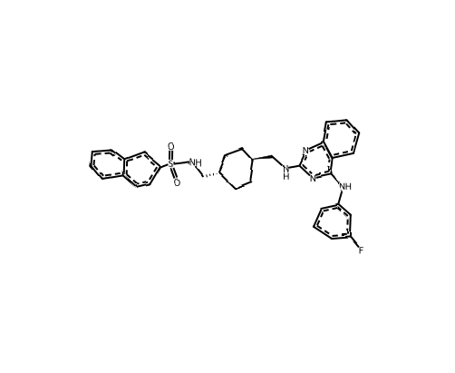 O=S(=O)(NC[C@H]1CC[C@H](CNc2nc(Nc3cccc(F)c3)c3ccccc3n2)CC1)c1ccc2ccccc2c1